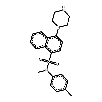 Cc1ccc(N(C)S(=O)(=O)c2ccc(N3CCNCC3)c3ccccc23)cc1